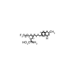 C[C@@H]1CNc2nc(CCCCN(CCOCC(F)(F)F)CC[C@H](N)C(=O)O)ccc2C1